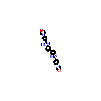 c1cc2[nH]c(-c3ccc(N4CCOCC4)cc3)nc2cc1-c1ccc2nc(-c3ccc(N4CCOCC4)cc3)[nH]c2c1